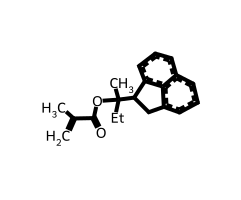 C=C(C)C(=O)OC(C)(CC)C1Cc2cccc3cccc1c23